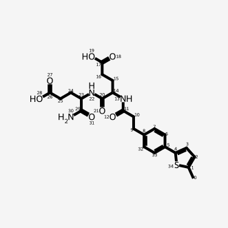 Cc1ccc(-c2ccc(CCC(=O)NC(CCC(=O)O)C(=O)NC(CCC(=O)O)C(N)=O)cc2)s1